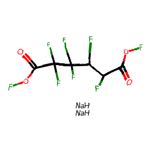 O=C(OF)C(F)C(F)C(F)(F)C(F)(F)C(=O)OF.[NaH].[NaH]